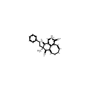 C[C@]1(CCc2ccccc2)C(=O)/C2=C/CC/C=C\c3c2c(c[nH]c3=O)C1=O